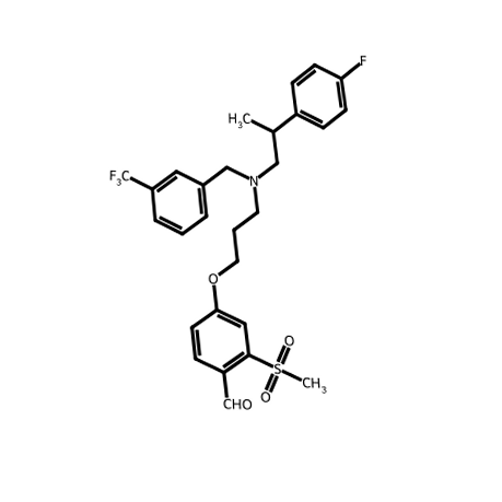 CC(CN(CCCOc1ccc(C=O)c(S(C)(=O)=O)c1)Cc1cccc(C(F)(F)F)c1)c1ccc(F)cc1